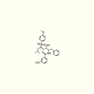 COc1ccc(S(=O)(=O)N(CC(C)C)CC(O)C(Cc2ccccc2)NC(=O)c2cccc(O)c2)cc1